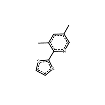 Cc1cnc(-c2nccs2)c(C)c1